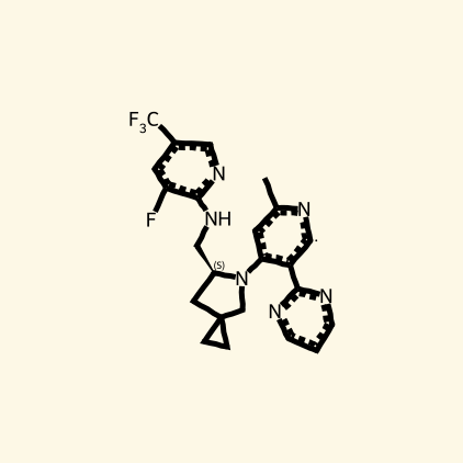 Cc1cc(N2CC3(CC3)C[C@H]2CNc2ncc(C(F)(F)F)cc2F)c(-c2ncccn2)[c]n1